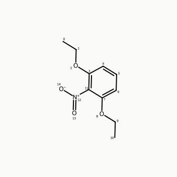 CCOc1cccc(OCC)c1[N+](=O)[O-]